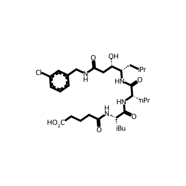 CCC[C@H](NC(=O)[C@@H](NC(=O)CCCC(=O)O)[C@@H](C)CC)C(=O)N[C@@H](CC(C)C)[C@@H](O)CC(=O)NCc1cccc(Cl)c1